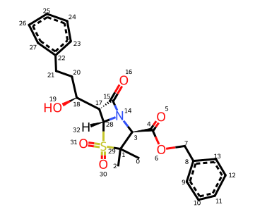 CC1(C)[C@H](C(=O)OCc2ccccc2)N2C(=O)[C@@H]([C@@H](O)CCc3ccccc3)[C@H]2S1(=O)=O